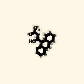 O=C(/C=C(\O)c1c2ccccc2cc2ccccc12)C(F)(F)F